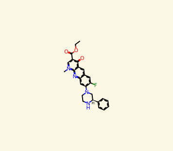 CCOC(=O)c1cn(C)c2nc3cc(N4CCN[C@H](c5ccccc5)C4)c(F)cc3cc2c1=O